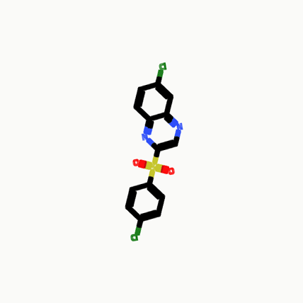 O=S(=O)(c1ccc(Cl)cc1)c1cnc2cc(Cl)ccc2n1